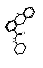 O=C(OC1CCCCC1)c1cccc2c1Cc1ccccc1O2